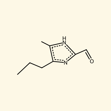 CCCc1nc(C=O)[nH]c1C